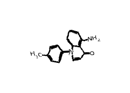 Cc1ccc(-n2ccc(=O)c3c(N)cccc32)cc1